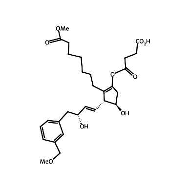 COCc1cccc(C[C@@H](O)/C=C/[C@@H]2C(CCCCCCC(=O)OC)=C(OC(=O)CCC(=O)O)C[C@H]2O)c1